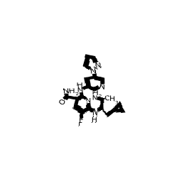 C[C@H](N)[C@@H](CC1CC1)Nc1nc(Nc2cncc(-n3cccn3)c2)c(C(N)=O)cc1F